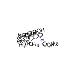 COc1cccc(/C=C/c2ccc(O)c3c2CC2CC4[C@H](N(C)C)C(O)=C(C(N)=O)C(=O)[C@@]4(O)C(O)=C2C3=O)c1